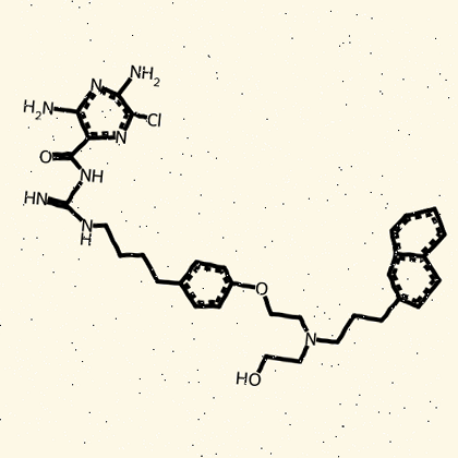 N=C(NCCCCc1ccc(OCCN(CCO)CCCc2ccc3ccccc3c2)cc1)NC(=O)c1nc(Cl)c(N)nc1N